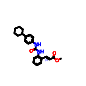 COC(=O)/C=C/c1ccccc1NC(=O)Nc1ccc(C2CCCCC2)cc1